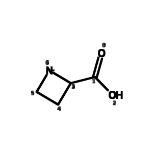 O=C(O)C1CC[N]1